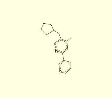 Cc1cc(-c2ccccc2)ncc1CC1CCCC1